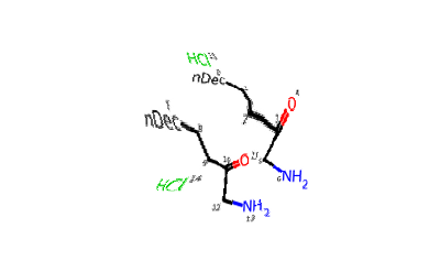 CCCCCCCCCCCCC(=O)CN.CCCCCCCCCCCCC(=O)CN.Cl.Cl